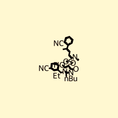 C=N/C(=C\C=C(/C)c1ccccc1C#N)S(=O)(=O)c1c(O)n([C@@H](CC)c2cccc(C#N)c2)c(CCCC)nc1=O